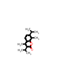 Cc1c(C(C)C)c(=O)oc2c(C)c(C(C)C)ccc12